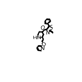 Cc1nc(C(=O)C2CCNC(CCOc3ccccn3)C2)c(-c2ccccc2)s1